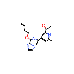 C=CCCOc1nc(-c2cc(C)nc(C(C)=O)c2)cn2ccnc12